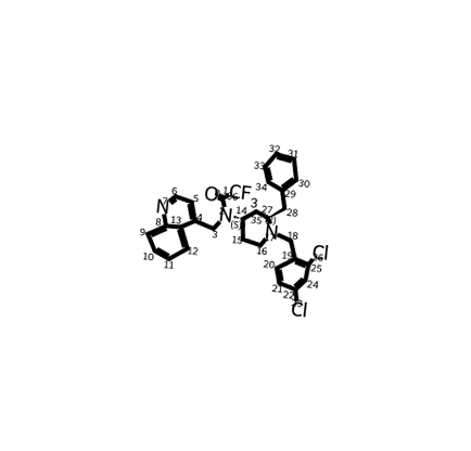 O=C(N(Cc1ccnc2ccccc12)[C@H]1CCN(Cc2ccc(Cl)cc2Cl)[C@H](Cc2ccccc2)C1)C(F)(F)F